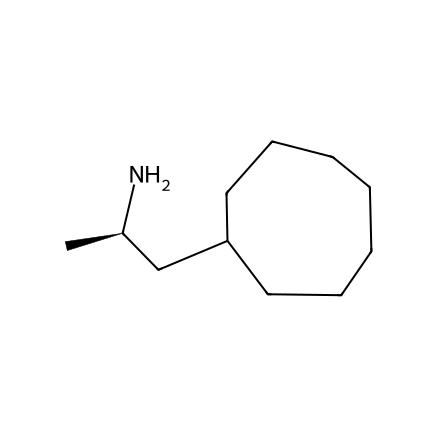 C[C@@H](N)CC1CCCCCCC1